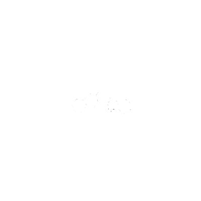 O=c1oc2c[c]ccc2cc1-c1nc2ccccc2o1